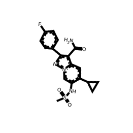 CS(=O)(=O)Nc1cn2nc(-c3ccc(F)cc3)c(C(N)=O)c2cc1C1CC1